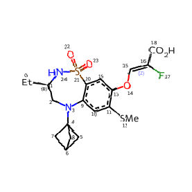 CC[C@@H]1CN(C23CC(C2)C3)c2cc(SC)c(O/C=C(\F)C(=O)O)cc2S(=O)(=O)N1